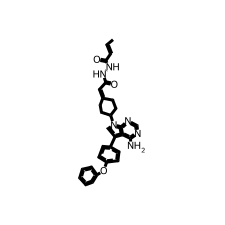 C/C=C/C(=O)NNC(=O)C=C1CCC(n2cc(-c3ccc(Oc4ccccc4)cc3)c3c(N)ncnc32)CC1